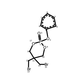 O=P1(Oc2ccccc2)OCC(CBr)(CBr)CO1